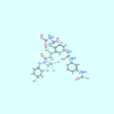 CC(=O)Nc1cccc(NC(=O)Nc2ccc3c(c2)C(CC(=O)N(Cc2ccc(F)cc2)[C@@H](C)C(F)(F)F)C[C@@]32OC(=O)NC2=O)c1